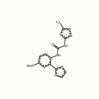 COc1ccc(NC(=O)Nc2nnc(C(F)(F)F)s2)c(-c2ncco2)c1